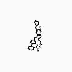 CCCCc1ncc(C=C(CC2CCCC2)C(=O)O)n1Cc1ccc(-c2ccccc2-c2nnn[nH]2)cc1